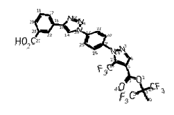 CC(OC(=O)c1cnn(-c2ccc(-n3cc(-c4cccc(C(=O)O)c4)nn3)cc2)c1C(F)(F)F)(C(F)(F)F)C(F)(F)F